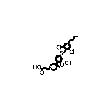 CCCCc1cc(Cl)c(CSc2ccc3c(c2)OCC32CCN(CCC(=O)O)CC2)c(Cl)c1.Cl